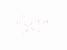 O=P(O)(O)O.[CaH2].[H+]